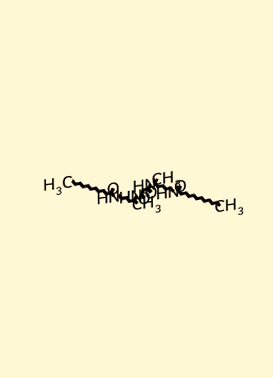 CCCCCCCCCCCC(=O)NCCCCC(C)NC(=O)CC(=O)NC(C)CCCCNC(=O)CCCCCCCCCCC